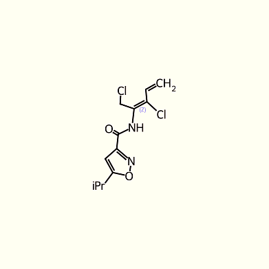 C=C/C(Cl)=C(\CCl)NC(=O)c1cc(C(C)C)on1